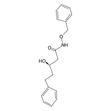 O=C(C[C@H](O)CCc1ccccc1)NOCc1ccccc1